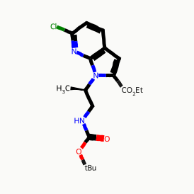 CCOC(=O)c1cc2ccc(Cl)nc2n1[C@H](C)CNC(=O)OC(C)(C)C